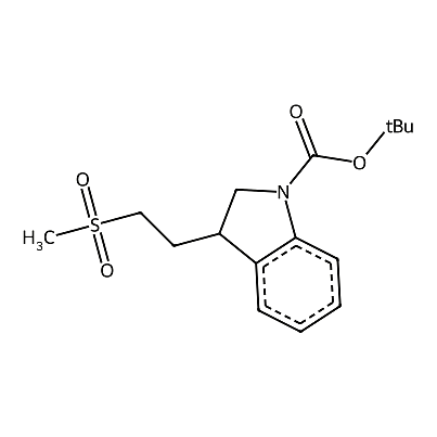 CC(C)(C)OC(=O)N1CC(CCS(C)(=O)=O)c2ccccc21